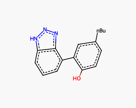 CCCCc1ccc(O)c(-c2cccc3[nH]nnc23)c1